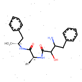 CC(C)[C@H](NC(=O)C(O)C(N)Cc1ccccc1)C(=O)N[C@@H](Cc1ccccc1)C(=O)O